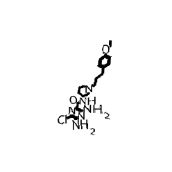 CCOc1ccc(CCCN2CCCC(NC(=O)c3nc(Cl)c(N)nc3N)C2)cc1